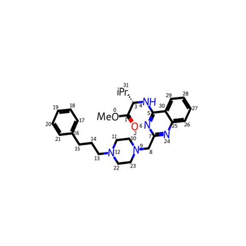 COC(=O)[C@@H](Nc1nc(CN2CCN(CCCc3ccccc3)CC2)nc2ccccc12)C(C)C